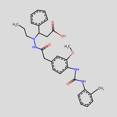 CCCN(NC(=O)Cc1ccc(NC(=O)Nc2ccccc2C)c(OC)c1)C(CC(=O)O)c1ccccc1